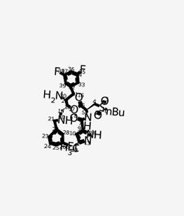 CCCCS(=O)(=O)C[C@@H](NC(=O)c1cc(C)n[nH]1)C(=O)O[C@H](CNCc1cccc(CC)c1)[C@@H](N)Cc1cc(F)cc(F)c1